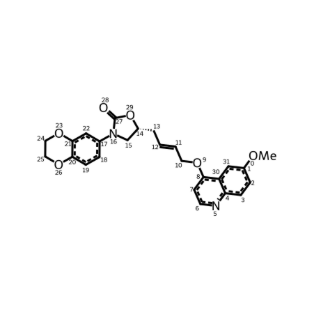 COc1ccc2nccc(OC/C=C/C[C@@H]3CN(c4ccc5c(c4)OCCO5)C(=O)O3)c2c1